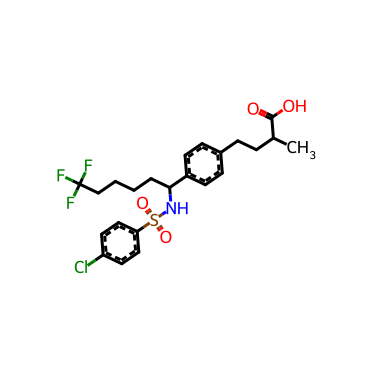 CC(CCc1ccc(C(CCCCC(F)(F)F)NS(=O)(=O)c2ccc(Cl)cc2)cc1)C(=O)O